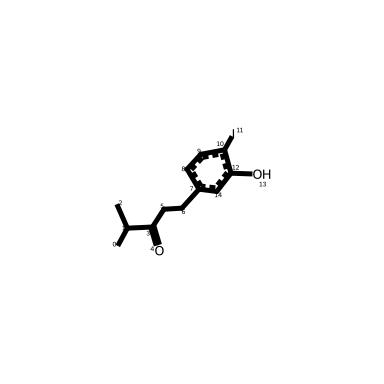 CC(C)C(=O)CCc1ccc(I)c(O)c1